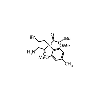 COc1cc(C)cc(OC)c1[N+](CCC(C)C)(C(=O)CN)C(=O)OC(C)(C)C